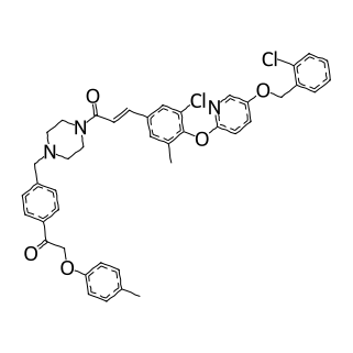 Cc1ccc(OCC(=O)c2ccc(CN3CCN(C(=O)/C=C/c4cc(C)c(Oc5ccc(OCc6ccccc6Cl)cn5)c(Cl)c4)CC3)cc2)cc1